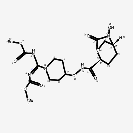 CC(C)(C)OC(=O)/N=C(/NC(=O)OC(C)(C)C)N1CCC(ONC(=O)[C@@H]2CC[C@@H]3CN2C(=O)N3O)CC1